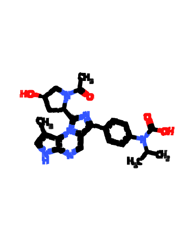 CC(=O)N1C[C@H](O)C[C@@H]1c1nc(-c2ccc(N(C(=O)O)C(C)C)cc2)c2cnc3[nH]cc(C)c3n12